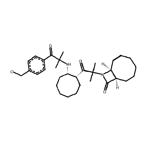 CC(C)(N[C@H]1CCCCCC[C@H]1C(=O)C(C)(C)N1C(=O)[C@@H]2CCCCCC[C@@H]21)C(=O)c1ccc(CCl)cc1